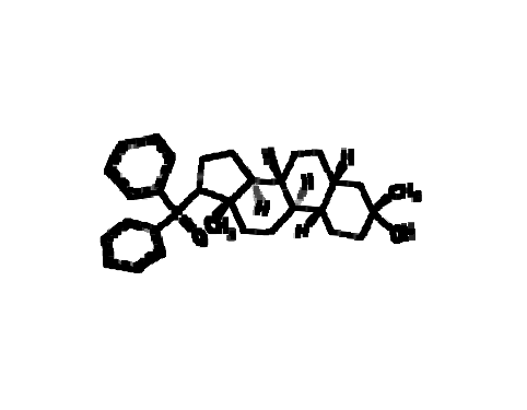 C[C@@]1(O)CC[C@H]2[C@H](CC[C@@H]3[C@@H]2CC[C@]2(C)C(P(=O)(c4ccccc4)c4ccccc4)CC[C@@H]32)C1